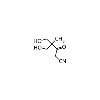 CC(CO)(CO)C(=O)CC#N